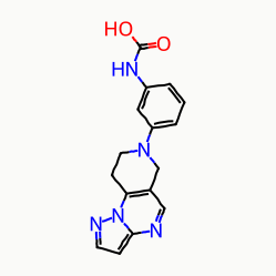 O=C(O)Nc1cccc(N2CCc3c(cnc4ccnn34)C2)c1